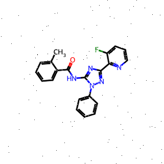 Cc1ccccc1C(=O)Nc1nc(-c2ncccc2F)nn1-c1ccccc1